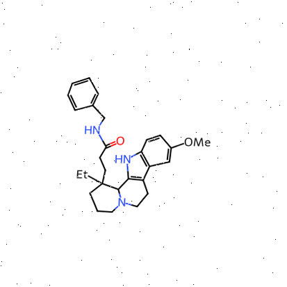 CCC1(CCC(=O)NCc2ccccc2)CCCN2CCc3c([nH]c4ccc(OC)cc34)C21